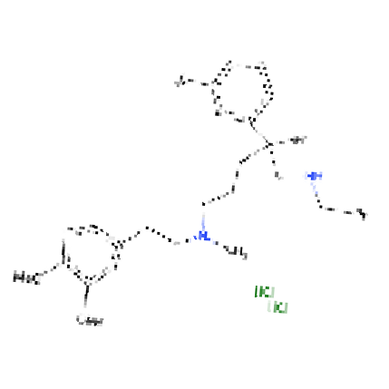 COc1ccc(CCN(C)CCCC(CNCC(C)C)(c2cccc(C(F)(F)F)c2)C(C)C)cc1OC.Cl.Cl